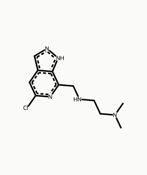 CN(C)CCNCc1nc(Cl)cc2cn[nH]c12